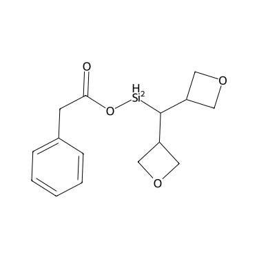 O=C(Cc1ccccc1)O[SiH2]C(C1COC1)C1COC1